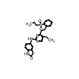 CCCS(=O)(=O)c1ccccc1CCc1nc(Nc2ccc3c(c2)CC(=O)N3)ncc1CC